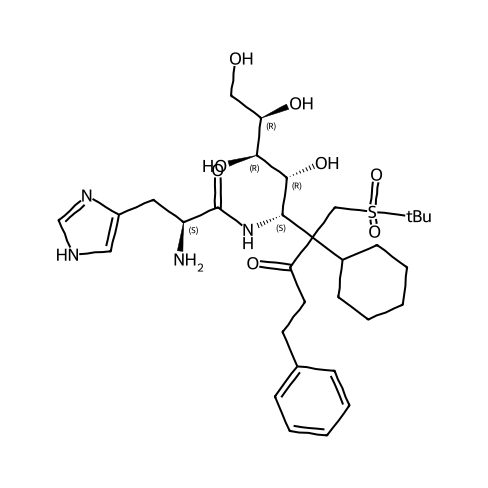 CC(C)(C)S(=O)(=O)CC(C(=O)CCc1ccccc1)(C1CCCCC1)[C@H](NC(=O)[C@@H](N)Cc1c[nH]cn1)[C@@H](O)[C@@H](O)[C@H](O)CO